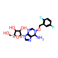 NC1c2ncn([C@@H]3O[C@H](CO)C(O)C3O)c2N=CN1OCc1cc(F)ccc1F